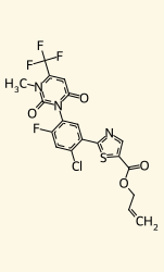 C=CCOC(=O)c1cnc(-c2cc(-n3c(=O)cc(C(F)(F)F)n(C)c3=O)c(F)cc2Cl)s1